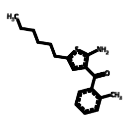 CCCCCCc1cc(C(=O)c2ccccc2C)c(N)s1